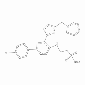 CNS(=O)(=O)CCNc1ccc(-c2ccc(Cl)cc2)cc1-c1ccn(Cc2cccnc2)n1